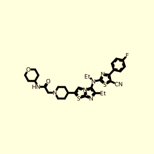 CCc1nc2sc(C3CCN(CC(=O)NC4CCOCC4)CC3)cn2c1N(CC)c1nc(-c2ccc(F)cc2)c(C#N)s1